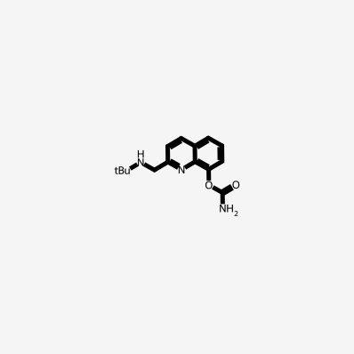 CC(C)(C)NCc1ccc2cccc(OC(N)=O)c2n1